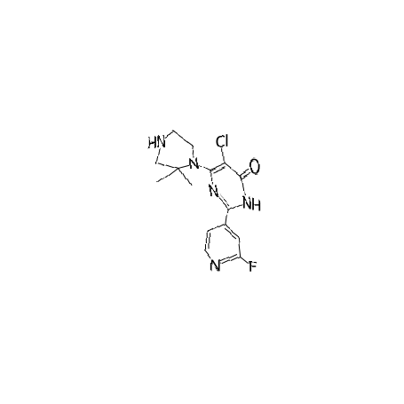 CC1(C)CNCCN1c1nc(-c2ccnc(F)c2)[nH]c(=O)c1Cl